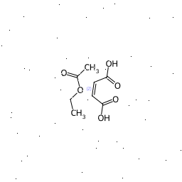 CCOC(C)=O.O=C(O)/C=C\C(=O)O